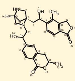 Cc1c([C@H](O)C[C@]23CN[C@@H](CN2CC(O)c2ccc4c(c2)C[C@@H](C)OC4=O)C3)ccc2c1COC2=O